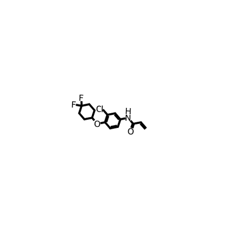 C=CC(=O)Nc1ccc(OC2CCC(F)(F)CC2)c(Cl)c1